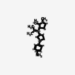 CC1C(N(C2CCN(c3ccc(N)cc3)C2)N(C)C)CCN1C